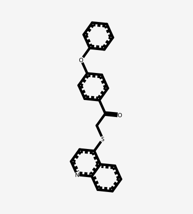 O=C(CSc1ccnc2ccccc12)c1ccc(Oc2ccccc2)cc1